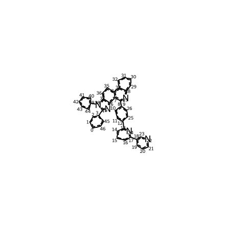 c1ccc(-c2nc3c4c(-c5ccc(-c6cccc(-c7cccnc7)n6)cc5)nc5ccccc5c4ccc3n2-c2ccccc2)cc1